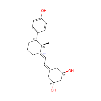 C[C@H]1/C(=C/C=C2C[C@@H](O)C[C@H](O)C2)CCC[C@@H]1c1ccc(O)cc1